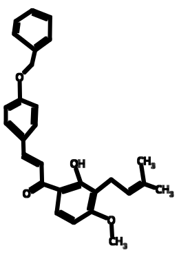 COc1ccc(C(=O)/C=C/c2ccc(OCc3ccccc3)cc2)c(O)c1CC=C(C)C